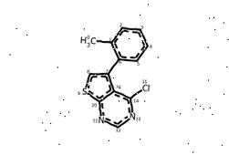 Cc1ccccc1-c1csc2ncnc(Cl)c12